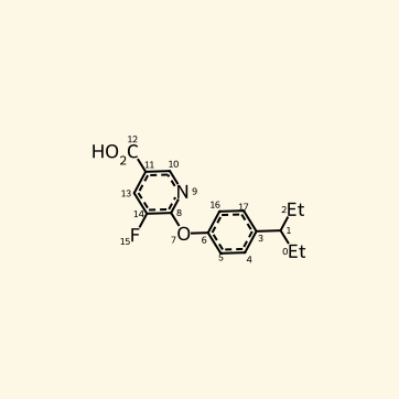 CCC(CC)c1ccc(Oc2ncc(C(=O)O)cc2F)cc1